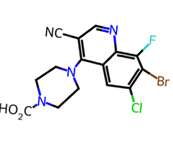 N#Cc1cnc2c(F)c(Br)c(Cl)cc2c1N1CCN(C(=O)O)CC1